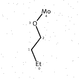 CCCC[O][Mo]